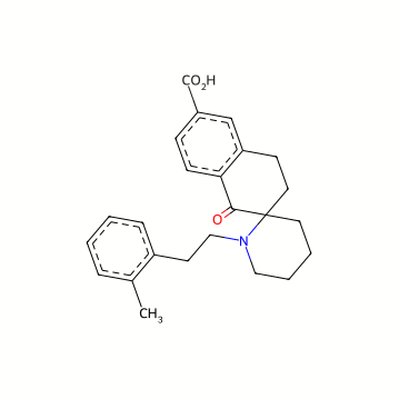 Cc1ccccc1CCN1CCCCC12CCc1cc(C(=O)O)ccc1C2=O